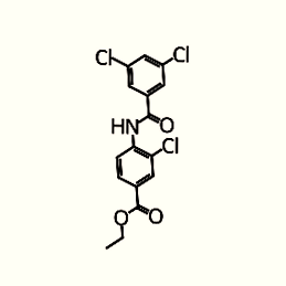 CCOC(=O)c1ccc(NC(=O)c2cc(Cl)cc(Cl)c2)c(Cl)c1